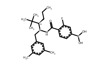 CCC[C@@H](N(Cc1cc(C)cc(C)c1)NC(=O)c1ccc(B(O)O)cc1F)C(C)(C)C